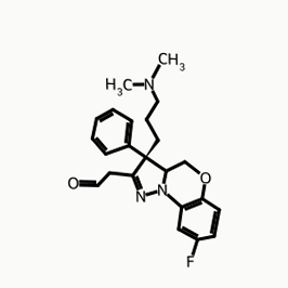 CN(C)CCC[C@]1(c2ccccc2)C(CC=O)=NN2c3cc(F)ccc3OCC21